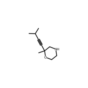 CC(C)C#CC1(C)CNCCO1